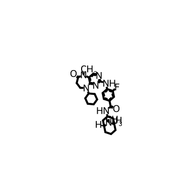 CN1C(=O)CCN(C2CCCCC2)c2nc(Nc3ccc(C(=O)NC4C[C@H]5CCC[C@@H](C4)N5C)cc3F)ncc21